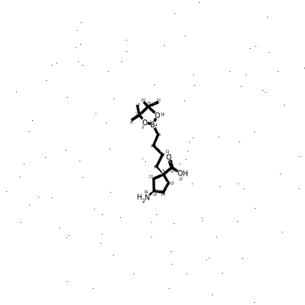 CC1(C)OB(CCCC[C@@]2(C(=O)O)CC[C@@H](N)C2)OC1(C)C